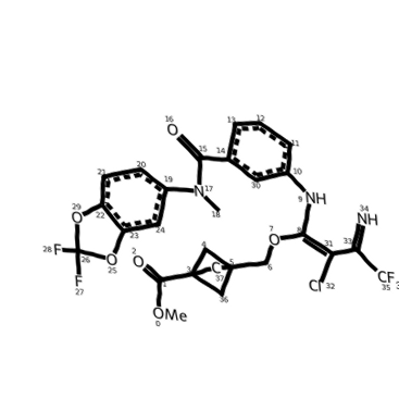 COC(=O)C12CC(CO/C(Nc3cccc(C(=O)N(C)c4ccc5c(c4)OC(F)(F)O5)c3)=C(\Cl)C(=N)C(F)(F)F)(C1)C2